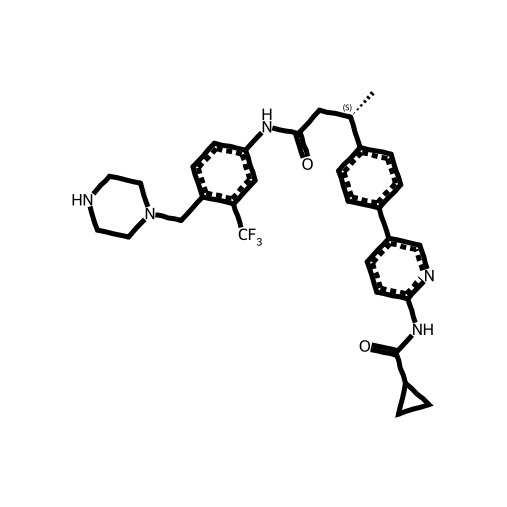 C[C@@H](CC(=O)Nc1ccc(CN2CCNCC2)c(C(F)(F)F)c1)c1ccc(-c2ccc(NC(=O)C3CC3)nc2)cc1